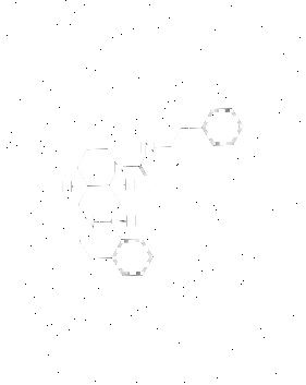 O=C(NCCc1ccccc1)N1CCC[C@@H]2CN3CCc4ccccc4[C@H]3C[C@@H]21